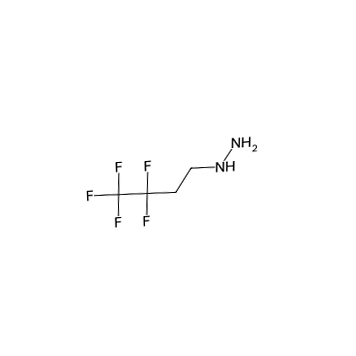 NNCCC(F)(F)C(F)(F)F